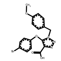 COc1ccc(Cn2nnc(C(=O)O)c2Oc2ccc(Br)cc2)cc1